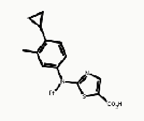 CCN(c1ccc(C2CC2)c(C)c1)c1ncc(C(=O)O)s1